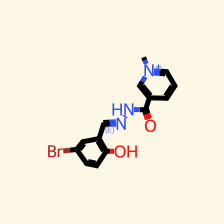 C[n+]1cccc(C(=O)N/N=C/c2cc(Br)ccc2O)c1